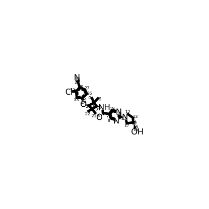 CC1(C)[C@H](NC(=O)c2cnc(N3CC[C@@H](CO)C3)nc2)C(C)(C)[C@H]1Oc1ccc(C#N)c(Cl)c1